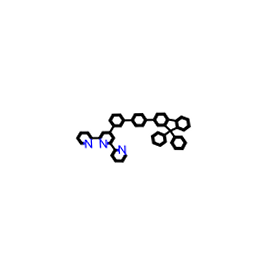 c1ccc(C2(c3ccccc3)c3ccccc3-c3ccc(-c4ccc(-c5cccc(-c6cc(-c7ccccn7)nc(-c7ccccn7)c6)c5)cc4)cc32)cc1